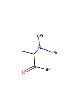 CCCC(=O)C(C)N(CCC)C(C)CC